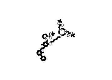 Cc1cc(CN2CCCC[C@H]2C(=O)OC(C)(C)C)c(OCCCCCCN2CCN(CC(=O)OC(C)(C)C)CCN(CC(=O)OC(C)(C)C)CC2)cc1/C=C/c1cccc(-c2ccccc2)c1C